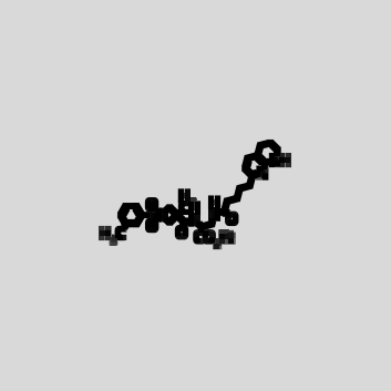 CCOC(=O)C(CNC(=O)CCCCc1ccc2c(n1)NCCC2)NC(=O)C1(C)CN(S(=O)(=O)c2cccc(C)c2)C1